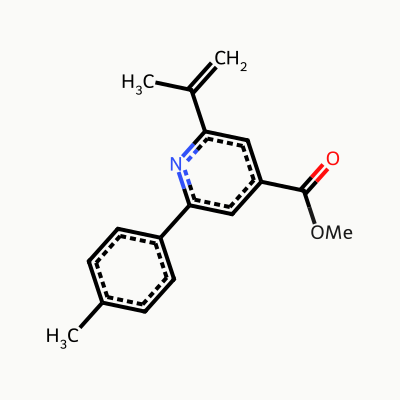 C=C(C)c1cc(C(=O)OC)cc(-c2ccc(C)cc2)n1